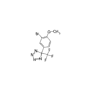 COc1ccc(C2(C(F)(F)F)N=NN=N2)cc1Br